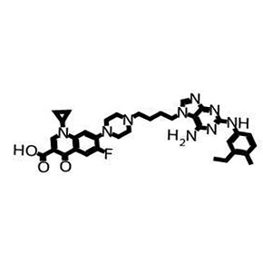 CCc1cc(Nc2nc(N)c3c(ncn3CCCCN3CCN(c4cc5c(cc4F)c(=O)c(C(=O)O)cn5C4CC4)CC3)n2)ccc1C